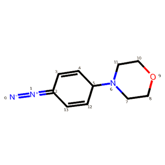 [N-]=[N+]=C1C=CC(N2CCOCC2)C=C1